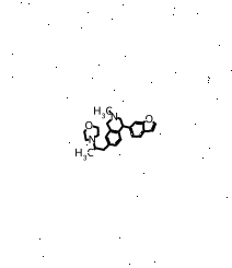 CC(Cc1ccc2c(c1)CN(C)CC2c1ccc2ccoc2c1)N1CCOCC1